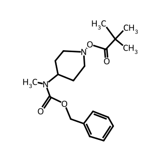 CN(C(=O)OCc1ccccc1)C1CCN(OC(=O)C(C)(C)C)CC1